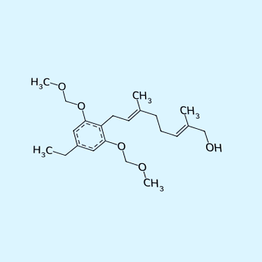 CCc1cc(OCOC)c(C/C=C(\C)CC/C=C(\C)CO)c(OCOC)c1